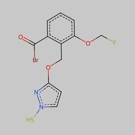 O=C(Br)c1cccc(OCF)c1COc1ccn(S)n1